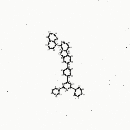 c1ccc(-c2nc(-c3ccccc3)nc(-c3ccc(-c4ccc5c(c4)oc4c(-c6cccc7cccnc67)nccc45)cc3)n2)cc1